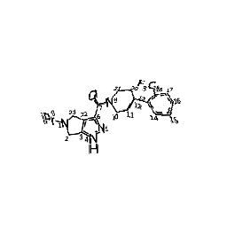 CC(C)N1Cc2[nH]nc(C(=O)N3CCC(c4ccccc4C(F)(F)F)CC3)c2C1